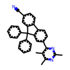 Cc1nc(C)c(C)c(-c2ccc3c(c2)C(c2ccccc2)(c2ccccc2)c2cc(C#N)ccc2-3)n1